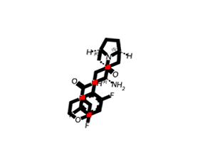 N[C@H](Cc1cc(F)c(F)cc1F)[C@@H]1C[C@H]2CC[C@@H](C1)N2C(=O)CNC(=O)N1CCOCC1